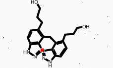 OCCCc1ccc2[nH]nnc2c1Cc1c(CCCO)ccc2[nH]nnc12